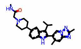 CNC(=O)CN1CCC(c2ccc3[nH]c(-c4cn5nc(C)nc5cc4C)c(C(C)C)c3c2)CC1